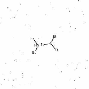 CCN(CC)CC.CCNCC